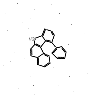 c1ccc(-c2cccc3[nH]c4ccc5ccccc5c4c23)cc1